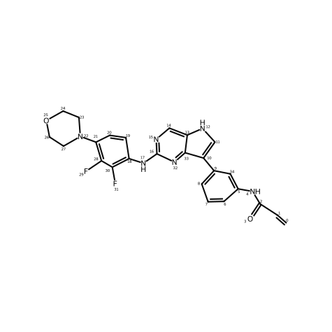 C=CC(=O)Nc1cccc(-c2c[nH]c3cnc(Nc4ccc(N5CCOCC5)c(F)c4F)nc23)c1